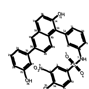 O=[N+]([O-])c1cc(S(=O)(=O)Nc2cccc(-c3c(O)ccc4cc(-c5cccc(O)c5)ccc34)c2)ccc1Cl